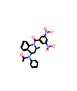 CC(=O)N(c1ccccc1)C1CC(C)N(C(=O)c2cc([N+](=O)[O-])cc([N+](=O)[O-])c2)c2ccccc21